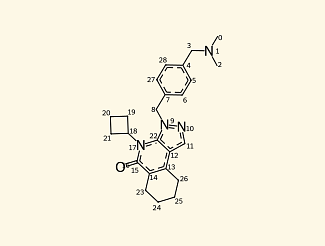 CN(C)Cc1ccc(Cn2ncc3c4c(c(=O)n(C5CCC5)c32)CCCC4)cc1